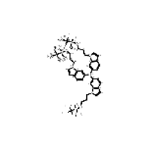 CC(C)(C)[Si](C)(C)OCCCn1ccc2cc[c]([Bi]([c]3ccc4ccn(CCCO[Si](C)(C)C(C)(C)C)c4c3)[c]3ccc4ccn(CCCO[Si](C)(C)C(C)(C)C)c4c3)cc21